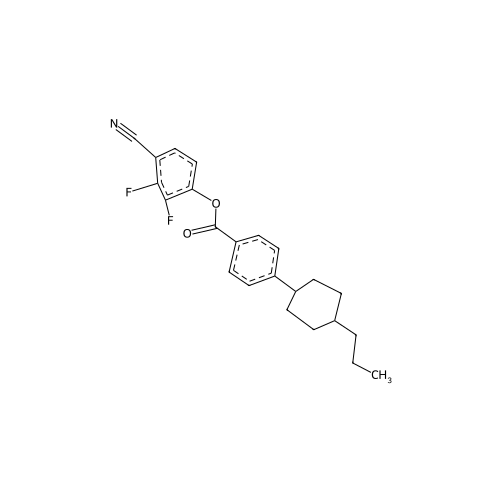 CCCC1CCC(c2ccc(C(=O)Oc3ccc(C#N)c(F)c3F)cc2)CC1